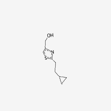 OCc1csc(CCC2CC2)n1